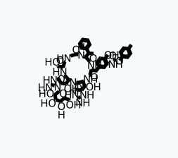 Cc1ccc(OC(=O)Nc2cc(CC3NC(=O)C(C(C)c4ccccc4)NC(=O)CNC(=O)C(CO)NC(=O)C(C(O)C4CNC(=N)N4C4OC(CO)C(O)C(O)C4O)NC(=O)C(C(O)C4CNC(=N)N4)NC3=O)ccc2O)cc1